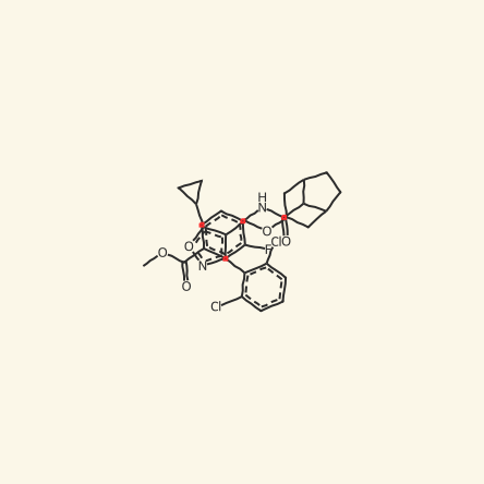 COC(=O)c1ccc(NC(=O)C2C3CCC2CC(OCc2c(-c4c(Cl)cccc4Cl)noc2C2CC2)C3)c(F)c1